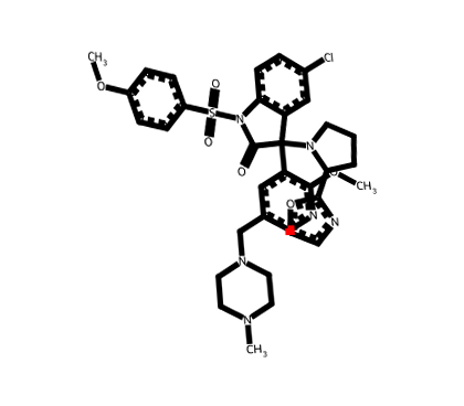 COc1ccc(S(=O)(=O)N2C(=O)C(c3cc(CN4CCN(C)CC4)cnc3OC)(N3CCCC3c3ncco3)c3cc(Cl)ccc32)cc1